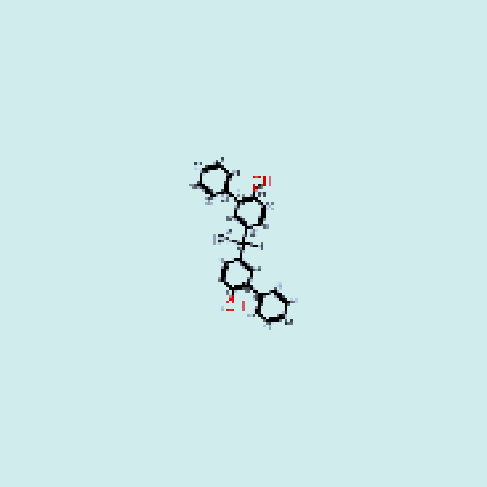 CC(C)C(C)(c1ccc(O)c(-c2ccccc2)c1)c1ccc(O)c(-c2ccccc2)c1